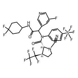 N#CN1CC[C@@H](C(F)(F)C(F)(F)F)[C@@H]1C(=O)N(c1ccc(S(F)(F)(F)(F)F)cc1)C(C(=O)NC1CCC(F)(F)CC1)c1cncc(F)c1